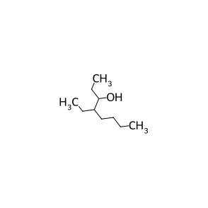 CCCCC(CC)C(O)CC